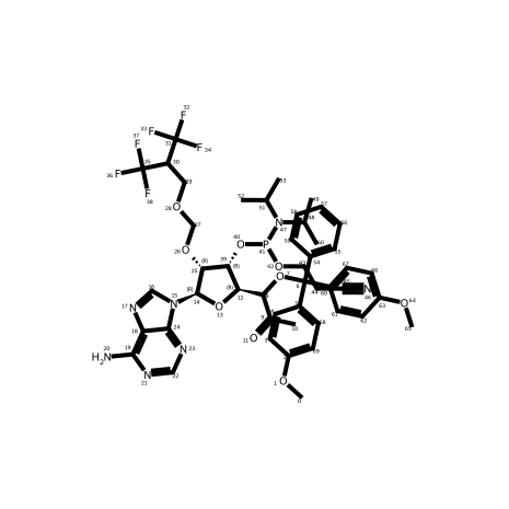 COc1ccc(C(OC(C(C)=O)[C@H]2O[C@@H](n3cnc4c(N)ncnc43)[C@H](OCOCC(C(F)(F)F)C(F)(F)F)[C@@H]2OP(OCCC#N)N(C(C)C)C(C)C)(c2ccccc2)c2ccc(OC)cc2)cc1